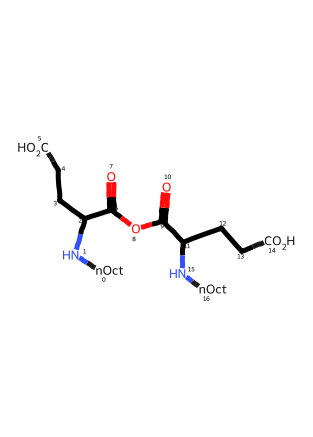 CCCCCCCCNC(CCC(=O)O)C(=O)OC(=O)C(CCC(=O)O)NCCCCCCCC